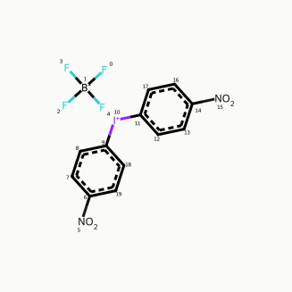 F[B-](F)(F)F.O=[N+]([O-])c1ccc([I+]c2ccc([N+](=O)[O-])cc2)cc1